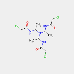 CC(NC(=O)CCl)N(C(C)NC(=O)CCl)C(C)NC(=O)CCl